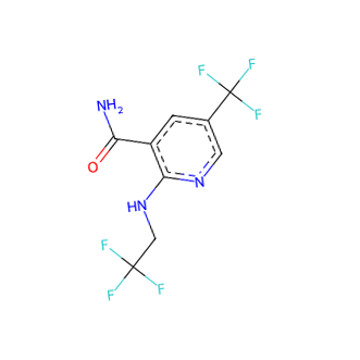 NC(=O)c1cc(C(F)(F)F)cnc1NCC(F)(F)F